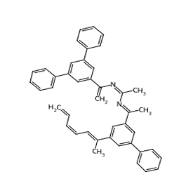 C=C/C=C\C=C(/C)c1cc(/C(C)=N/C(C)=N\C(=C)c2cc(-c3ccccc3)cc(-c3ccccc3)c2)cc(-c2ccccc2)c1